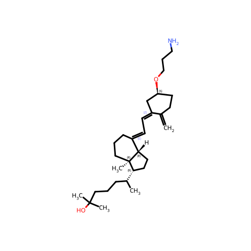 C=C1CC[C@H](OCCCN)C/C1=C/C=C1\CCC[C@]2(C)[C@@H](C(C)CCCC(C)(C)O)CC[C@@H]12